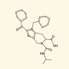 CC(C)NC(=O)N1Cc2nc(C(=O)c3ccccc3)n(Cc3ccccc3)c2CC1C(=O)O